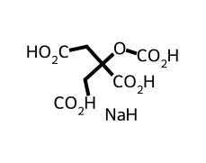 O=C(O)CC(CC(=O)O)(OC(=O)O)C(=O)O.[NaH]